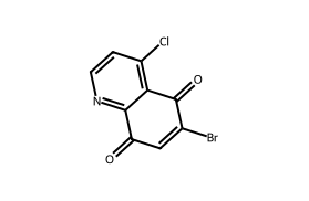 O=C1C=C(Br)C(=O)c2c(Cl)ccnc21